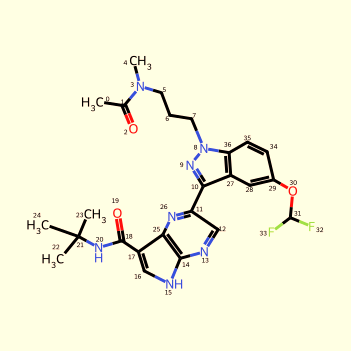 CC(=O)N(C)CCCn1nc(-c2cnc3[nH]cc(C(=O)NC(C)(C)C)c3n2)c2cc(OC(F)F)ccc21